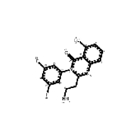 Cc1cccc2nc(CCN)n(-c3cc(F)cc(F)c3)c(=O)c12